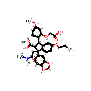 CCCOc1ccc2c(c1)C(c1ccc(OC)cc1OCC(=O)O)C(C(=O)[O-])C2(CC(=O)N(C)C)c1ccc2c(c1)OCO2.[Na+]